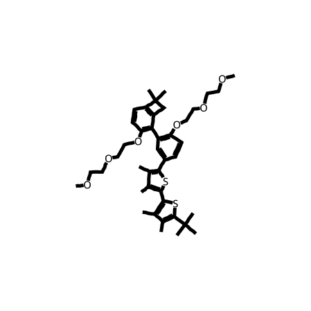 COCCOCCOc1ccc(-c2sc(-c3sc(C(C)(C)C)c(C)c3C)c(C)c2C)cc1-c1c(OCCOCCOC)ccc2c1CC2(C)C